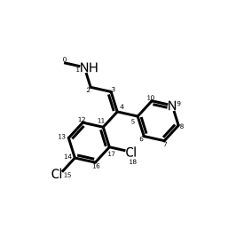 CNCC=C(c1cccnc1)c1ccc(Cl)cc1Cl